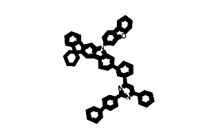 c1ccc(-c2ccc(-c3nc(-c4ccccc4)cc(-c4cccc(-c5ccc6c7cc8c(cc7n(-c7ccc9c(c7)oc7ccccc79)c6c5)-c5ccccc5C85CCCCC5)c4)n3)cc2)cc1